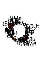 CN[C@@H](C)C(=O)N[C@H](C(=O)N1C[C@@H]2C[C@H]1C(=O)N[C@@H](Cc1ccc3ccccc3c1)C(=O)N[C@H](C(=O)O)Cc1ccc(cc1)OCc1cn(nn1)[C@H]1C[C@@H](C(=O)N[C@@H](Cc3ccc4ccccc4c3)C(=O)N[C@H](C(=O)NCc3nnn[nH]3)Cc3ccc(cc3)OCc3cn2nn3)N(C(=O)[C@@H](NC(=O)[C@H](C)NC)C(C)(C)C)C1)C(C)(C)C